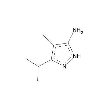 Cc1c(C(C)C)n[nH]c1N